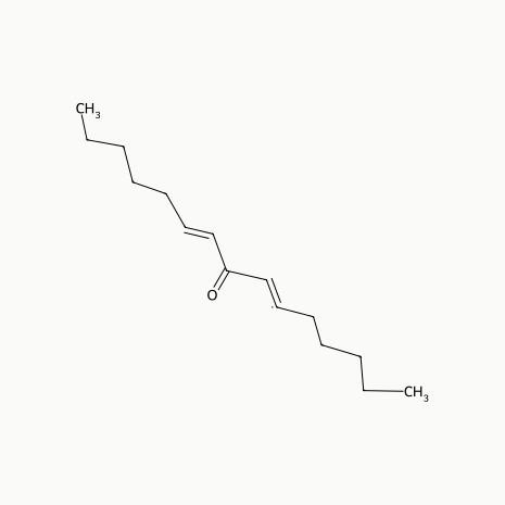 CCCCC/[C]=C/C(=O)C=CCCCCC